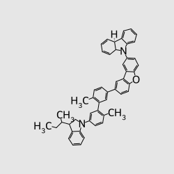 CCC(C)C1CN(c2ccc(C)c(-c3cc(-c4ccc5oc6ccc(N7c8ccccc8[C@@H]8C=CC=CC87)cc6c5c4)ccc3C)c2)c2ccccc21